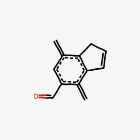 C=c1cc(C=O)c(=C)c2c1CC=C2